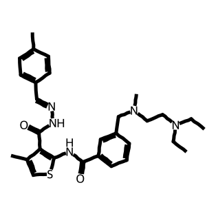 CCN(CC)CCN(C)Cc1cccc(C(=O)Nc2scc(C)c2C(=O)N/N=C/c2ccc(C)cc2)c1